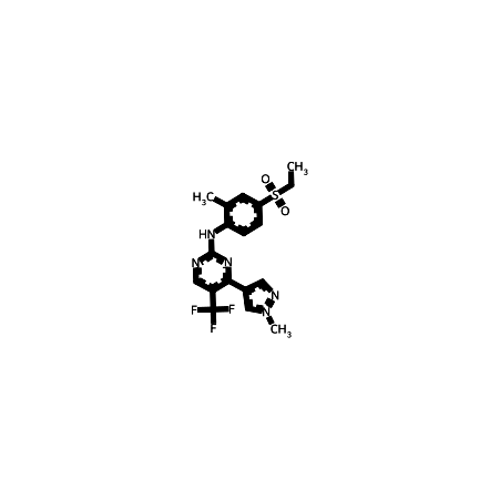 CCS(=O)(=O)c1ccc(Nc2ncc(C(F)(F)F)c(-c3cnn(C)c3)n2)c(C)c1